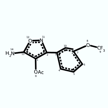 CC(=O)Oc1c(-c2cccc(OC(F)(F)F)c2)noc1N